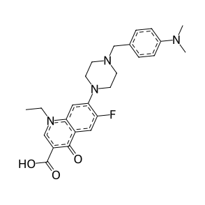 CCn1cc(C(=O)O)c(=O)c2cc(F)c(N3CCN(Cc4ccc(N(C)C)cc4)CC3)cc21